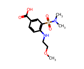 COCCNc1ccc(C(=O)O)cc1S(=O)(=O)N(C)C